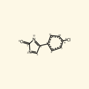 O=C1N=CC(c2ccc(Cl)cc2)=N1